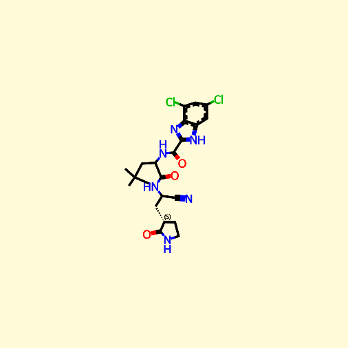 CC(C)(C)CC(NC(=O)c1nc2c(Cl)cc(Cl)cc2[nH]1)C(=O)NC(C#N)C[C@@H]1CCNC1=O